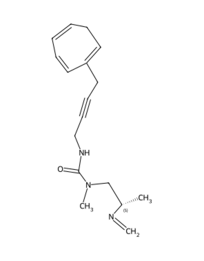 C=N[C@@H](C)CN(C)C(=O)NCC#CCC1=CCC=CC=C1